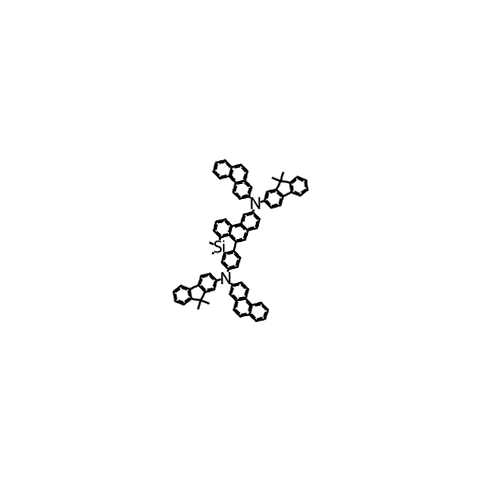 CC1(C)c2ccccc2-c2ccc(N(c3ccc4c(c3)[Si](C)(C)c3cccc5c3c-4cc3ccc(N(c4ccc6c(c4)C(C)(C)c4ccccc4-6)c4ccc6c(ccc7ccccc76)c4)cc35)c3ccc4c(ccc5ccccc54)c3)cc21